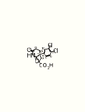 O=C(O)CCC1(c2ccc(Cl)c(Cl)c2)CCC(=O)NC1=O